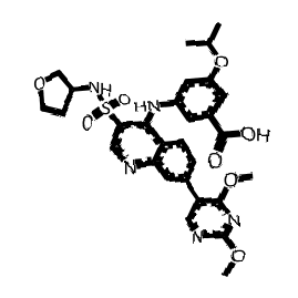 COc1ncc(-c2ccc3c(Nc4cc(OC(C)C)cc(C(=O)O)c4)c(S(=O)(=O)NC4CCOC4)cnc3c2)c(OC)n1